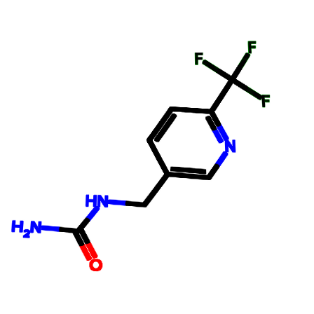 NC(=O)NCc1ccc(C(F)(F)F)nc1